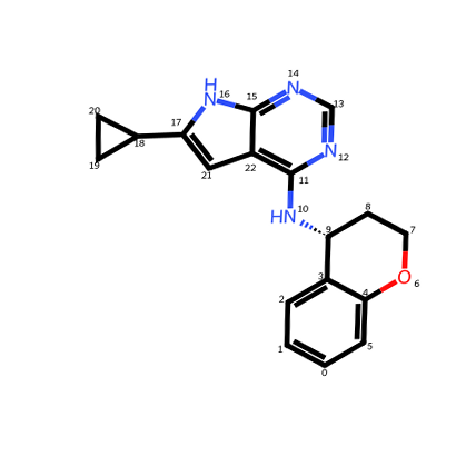 c1ccc2c(c1)OCC[C@H]2Nc1ncnc2[nH]c(C3CC3)cc12